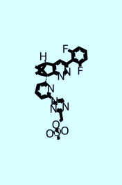 CC1(C)[C@H]2CC[C@]1(c1cccc(-n3cnc(COS(C)(=O)=O)n3)n1)c1nnc(-c3c(F)cccc3F)cc12